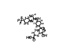 Cc1nc2cc(C(F)(F)F)ccc2nc1Nc1ccc(C(=O)N2CCC(C(=O)O)CC2C(=O)O)cc1